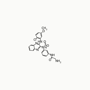 COc1ccc(Cl)c(Nc2nc3ccccc3nc2N(c2cccc(NC(=O)CN)c2)[SH](=O)=O)c1